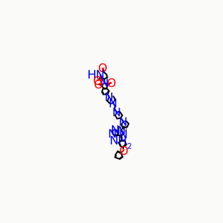 Nc1ncnc2c1c(-c1ccc(Oc3ccccc3)cc1)nn2[C@@H]1CCCN(C2CCN(CCN3CCN(c4ccc5c(c4)C(=O)N(C4CCC(=O)NC4=O)C5=O)CC3)CC2)C1